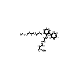 COCCOCCOc1ccnc(-c2ccccn2)c1OCCOCCOC